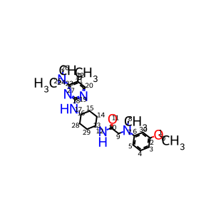 COc1cccc(N(C)CC(=O)N[C@H]2CC[C@@H](Nc3ncc(C)c(N(C)C)n3)CC2)c1